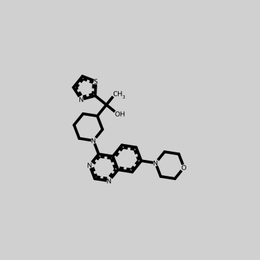 CC(O)(c1nccs1)C1CCCN(c2ncnc3cc(N4CCOCC4)ccc23)C1